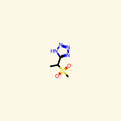 CC(c1nnn[nH]1)S(C)(=O)=O